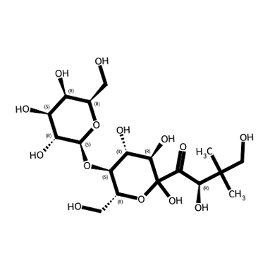 CC(C)(CO)[C@@H](O)C(=O)C1(O)O[C@H](CO)[C@@H](O[C@@H]2O[C@H](CO)[C@H](O)[C@H](O)[C@H]2O)[C@H](O)[C@H]1O